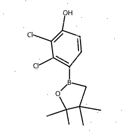 CC1(C)CB(c2ccc(O)c(Cl)c2Cl)OC1(C)C